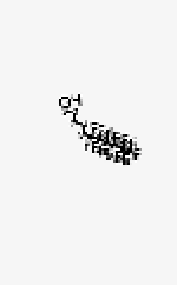 OCCCCCC(F)(F)C(F)(F)C(F)(F)C(F)(F)C(F)(F)C(F)(F)F